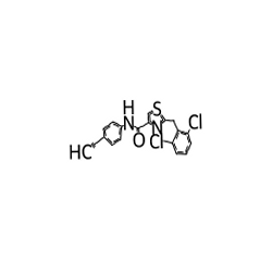 C#Cc1ccc(NC(=O)c2csc(Cc3c(Cl)cccc3Cl)n2)cc1